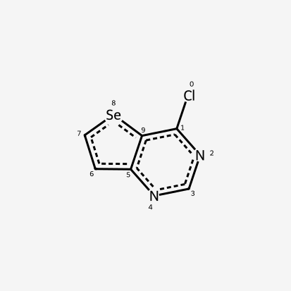 Clc1ncnc2cc[se]c12